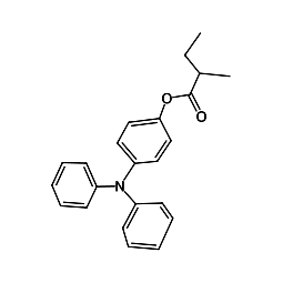 CCC(C)C(=O)Oc1ccc(N(c2ccccc2)c2ccccc2)cc1